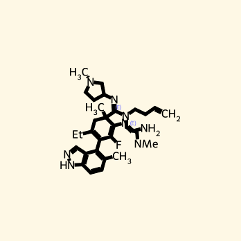 C=CCCN(CCNC)/C(=N/C1CCN(C)C1)C1(C)CC(CC)=C(c2c(C)ccc3[nH]ncc23)C(F)=C1/N=C/N